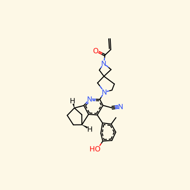 C=CC(=O)N1CC2(CCN(c3nc4c(c(-c5cc(O)ccc5C)c3C#N)[C@@H]3CC[C@H]4C3)C2)C1